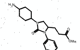 COC(=O)CCC1CN(C2CCC(N)CC2)C(=O)N1c1ccccc1